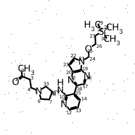 CC(=O)CCN1CC[C@@H](Nc2ncccc2-c2cnc3c(ccn3COCC[Si](C)(C)C)n2)C1